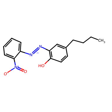 CCCCc1ccc(O)c(/N=N/c2ccccc2[N+](=O)[O-])c1